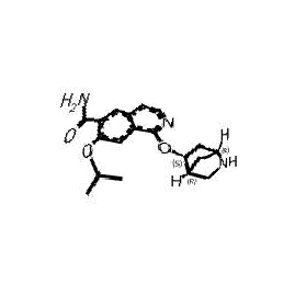 CC(C)Oc1cc2c(O[C@H]3C[C@H]4C[C@@H]3CN4)nccc2cc1C(N)=O